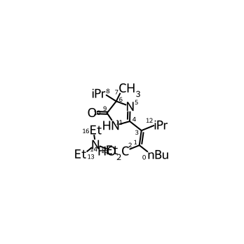 CCCC/C(C(=O)O)=C(/C1=NC(C)(C(C)C)C(=O)N1)C(C)C.CCN(CC)CC